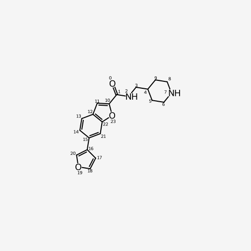 O=C(NCC1CCNCC1)c1cc2ccc(-c3ccoc3)cc2o1